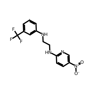 O=[N+]([O-])c1ccc(NCCNc2c[c]cc(C(F)(F)F)c2)nc1